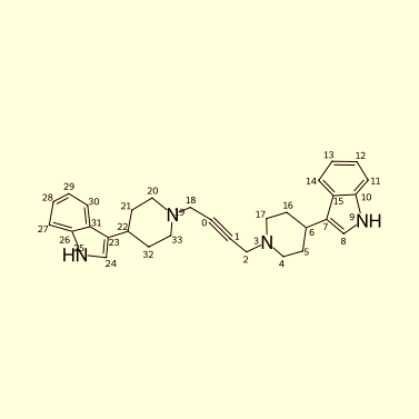 C(#CCN1CCC(c2c[nH]c3ccccc23)CC1)CN1CCC(c2c[nH]c3ccccc23)CC1